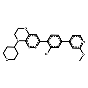 COc1cc(-c2ccc(-c3cc4c(nn3)N(C3CCOCC3)CCO4)c(O)c2)ccn1